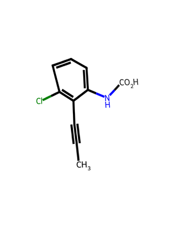 CC#Cc1c(Cl)cccc1NC(=O)O